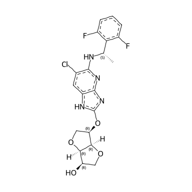 C[C@H](Nc1nc2nc(O[C@@H]3CO[C@H]4[C@@H]3OC[C@H]4O)[nH]c2cc1Cl)c1c(F)cccc1F